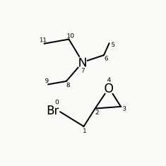 BrCC1CO1.CCN(CC)CC